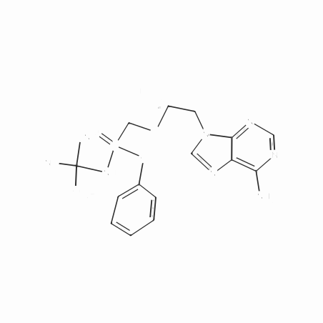 CCOC(=O)C(C#N)(C#N)NP(=O)(CO[C@H](C)Cn1cnc2c(N)ncnc21)Oc1ccccc1